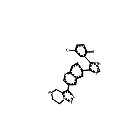 Fc1ccc(Cl)cc1-c1[nH]cnc1-c1ccc2ncc(-c3nnn4c3CNCC4)cc2c1